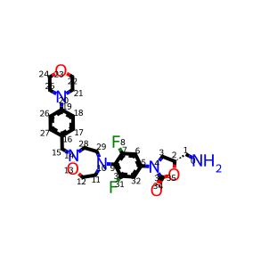 NC[C@H]1CN(c2cc(F)c(N3CCON(Cc4ccc(N5CCOCC5)cc4)CC3)c(F)c2)C(=O)O1